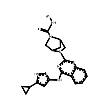 CC(C)NC(=O)N1CC2CC1CN2c1nc(Nc2cc(C3CC3)[nH]n2)c2ccccc2n1